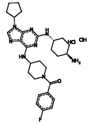 Cl.Cl.N[C@H]1CC[C@H](Nc2nc(NC3CCN(C(=O)c4ccc(F)cc4)CC3)c3ncn(C4CCCC4)c3n2)CC1